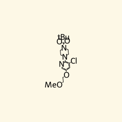 COCCOc1cnc(N2CCN(C(=O)OC(C)(C)C)CC2)c(Cl)c1